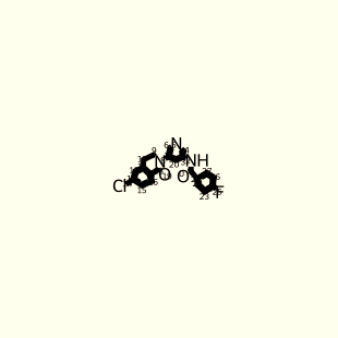 O=C(Nc1cncc(N2CCc3cc(Cl)ccc3C2=O)c1)c1ccc(F)cc1